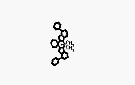 [CH3][Hf]1([CH3])[CH]2C(=Cc3c(-c4ccccc4)cccc32)C2(CCCCC2)C2=Cc3c(-c4ccccc4)cccc3[CH]21